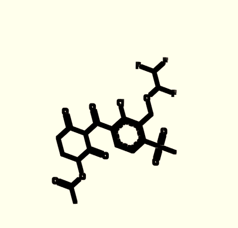 CC(=O)OC1CCC(=O)C(C(=O)c2ccc(S(C)(=O)=O)c(COC(F)C(F)F)c2Cl)C1=O